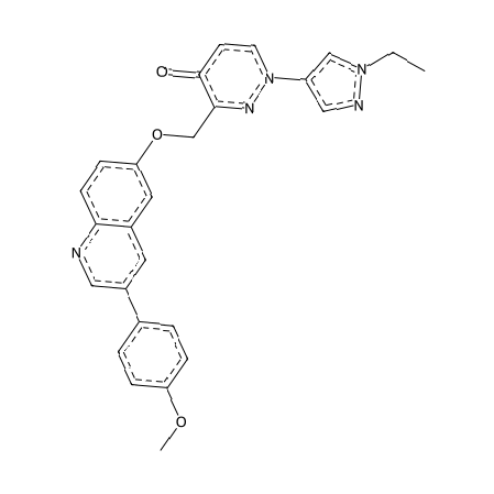 CCn1cc(-n2ccc(=O)c(COc3ccc4ncc(-c5ccc(OC)cc5)cc4c3)n2)cn1